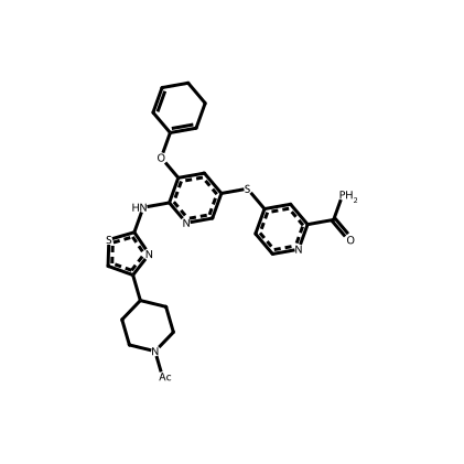 CC(=O)N1CCC(c2csc(Nc3ncc(Sc4ccnc(C(=O)P)c4)cc3OC3=CCCC=C3)n2)CC1